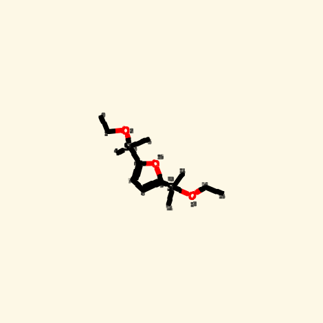 CCO[Si](C)(C)c1ccc([Si](C)(C)OCC)o1